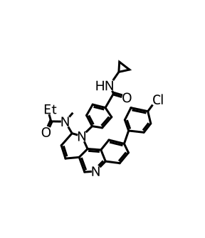 CCC(=O)N(C)C1C=Cc2cnc3ccc(-c4ccc(Cl)cc4)cc3c2N1c1ccc(C(=O)NC2CC2)cc1